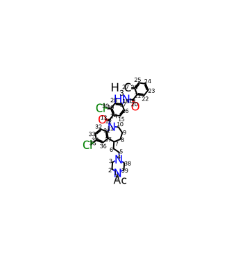 CC(=O)N1CCN(CCC2CCCN(C(=O)c3ccc(NC(=O)c4ccccc4C)cc3Cl)c3ccc(Cl)cc32)CC1